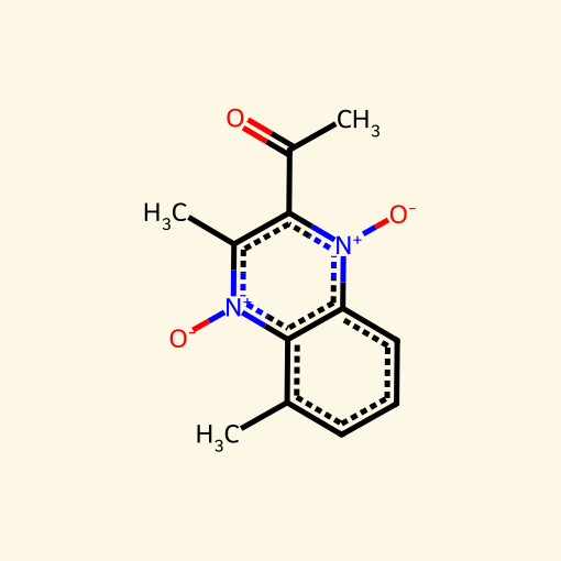 CC(=O)c1c(C)[n+]([O-])c2c(C)cccc2[n+]1[O-]